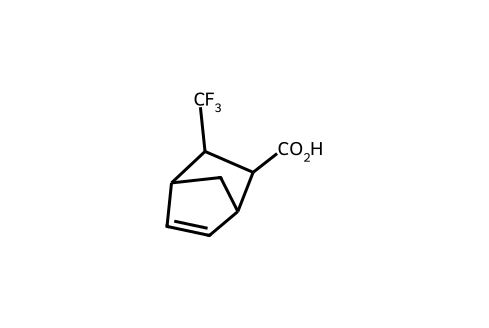 O=C(O)C1C2C=CC(C2)C1C(F)(F)F